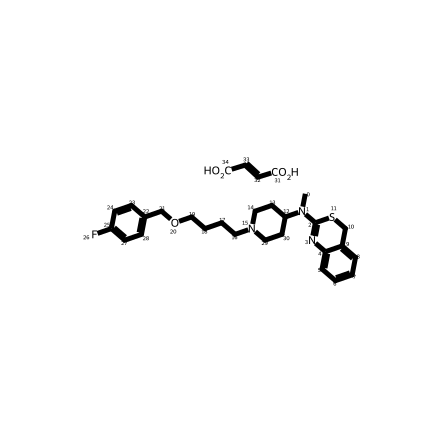 CN(C1=Nc2ccccc2CS1)C1CCN(CCCCOCc2ccc(F)cc2)CC1.O=C(O)C=CC(=O)O